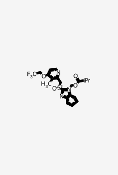 Cc1c(OCC(F)(F)F)ccnc1C[S@@+]([O-])c1nc2ccccc2n1COC(=O)C(C)C